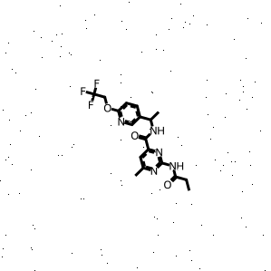 CCC(=O)Nc1nc(C)cc(C(=O)NC(C)c2ccc(OCC(F)(F)F)nc2)n1